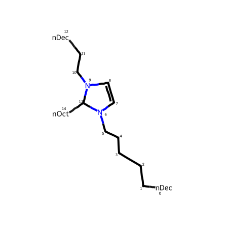 CCCCCCCCCCCCCCCN1C=CN(CCCCCCCCCCCC)C1CCCCCCCC